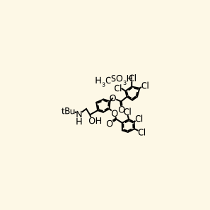 CC(C)(C)NCC(O)c1ccc(OC(=O)c2ccc(Cl)c(Cl)c2Cl)c(OC(=O)c2ccc(Cl)c(Cl)c2Cl)c1.CS(=O)(=O)O